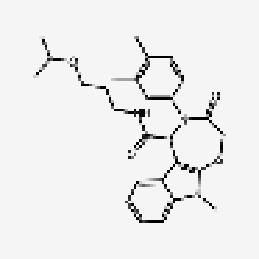 Cc1ccc(N2C(=O)CSc3c(c4ccccc4n3C)C2C(=O)NCCCOC(C)C)cc1C